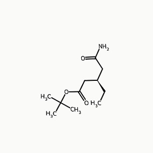 CC[C@H](CC(N)=O)CC(=O)OC(C)(C)C